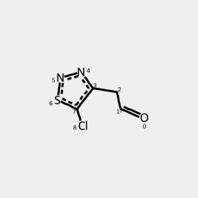 O=[C]Cc1nnsc1Cl